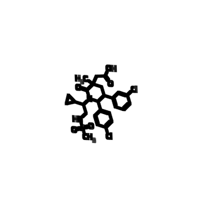 CC1(CC(=O)O)CC(c2cccc(Cl)c2)C(c2ccc(Cl)cc2)N(C(CNS(C)(=O)=O)C2CC2)C1=O